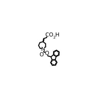 O=C(O)C/C=C1/CCCN(C(=O)OCC2c3ccccc3-c3ccccc32)CC1